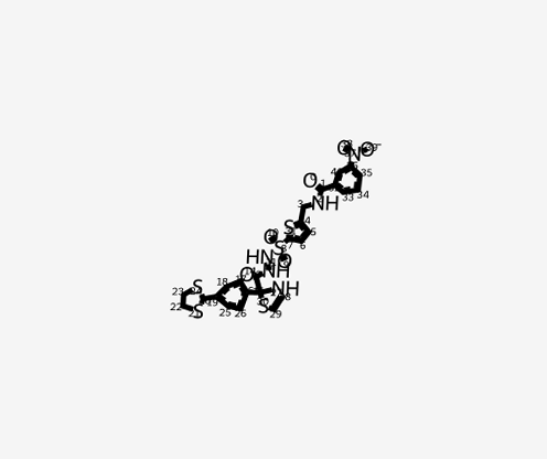 O=C(NCc1ccc(S(=O)(=O)NNC(=O)C2(c3ccc(C4SCCS4)cc3)NC=CS2)s1)c1cccc([N+](=O)[O-])c1